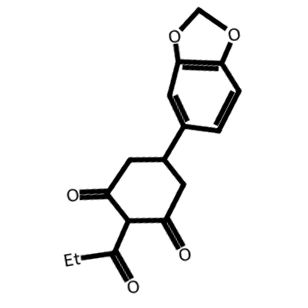 CCC(=O)C1C(=O)CC(c2ccc3c(c2)OCO3)CC1=O